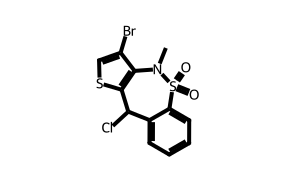 CN1c2c(Br)csc2C(Cl)c2ccccc2S1(=O)=O